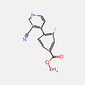 COC(=O)c1ccc(-c2ccncc2C#N)c(F)c1